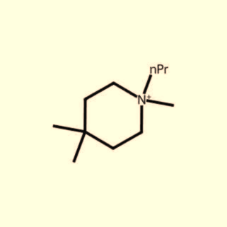 CCC[N+]1(C)CCC(C)(C)CC1